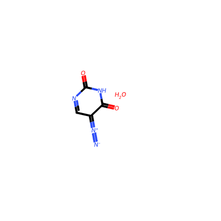 O.[N-]=[N+]=C1C=NC(=O)NC1=O